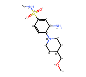 CNS(=O)(=O)C1=CC(N)C(N2CCC(COC)CC2)C=C1